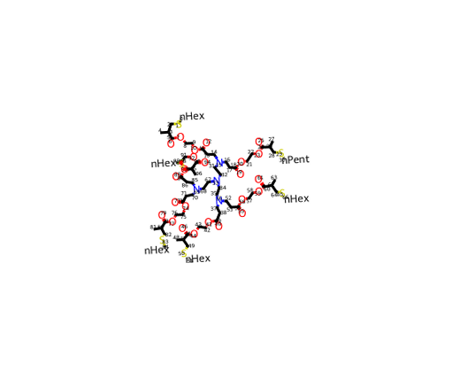 CCCCCCSCC(C)C(=O)OCCOC(=O)CCN(CCC(=O)OCCOC(=O)C(C)CSCCCCC)CCN(CCN(CCC(=O)OCCOC(=O)C(C)CSCCCCCC)CCC(=O)OCCOC(=O)C(C)CSCCCCCC)CCN(CCC(=O)OCCOC(=O)C(C)CSCCCCCC)CCC(=O)OCCOC(=O)C(C)CSCCCCCC